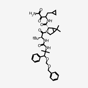 CC(C)(NC(=O)N[C@H](C(=O)N1CC2C([C@H]1C(=O)NC(CC1CC1)C(=O)C(N)=O)C2(C)C)C(C)(C)C)C(OCOCc1ccccc1)c1ccccc1